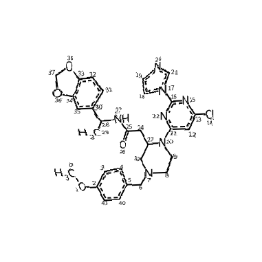 COc1ccc(CN2CCN(c3cc(Cl)nc(-n4ccnc4)n3)C(CC(=O)NC(C)c3ccc4c(c3)OCO4)C2)cc1